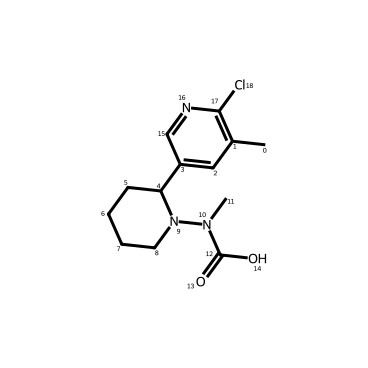 Cc1cc(C2CCCCN2N(C)C(=O)O)cnc1Cl